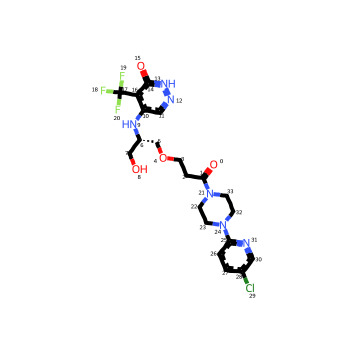 O=C(CCOC[C@H](CO)Nc1cn[nH]c(=O)c1C(F)(F)F)N1CCN(c2ccc(Cl)cn2)CC1